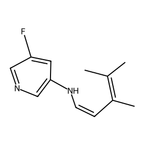 CC(C)=C(C)/C=C\Nc1cncc(F)c1